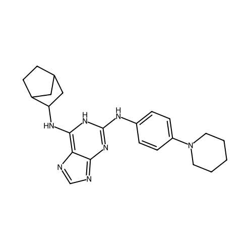 c1nc2nc(Nc3ccc(N4CCCCC4)cc3)[nH]c(NC3CC4CCC3C4)c-2n1